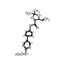 C=CC1OC(C)(C)OC1C(=O)Oc1ccc(-c2cnc(SCCCCCCCC)nc2)cc1